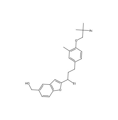 CCC(CCc1ccc(OCC(C)(C)C(C)=O)c(C)c1)c1cc2cc(CO)ccc2o1